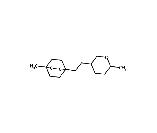 CC1CCC(CCC23CCC(C)(CC2)CC3)CO1